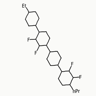 CCCC1CCC(C2CCC(C3CCC(C4CCC(CC)CC4)C(F)C3F)CC2)C(F)C1F